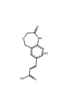 Cl.O=C(O)C=Cc1cnc2c(c1)COCC(=O)N2